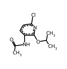 CC(=O)Nc1ccc(Cl)nc1OC(C)C